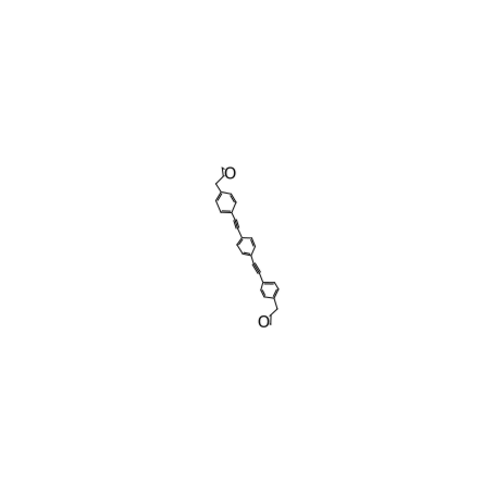 C(#Cc1ccc(CC2CO2)cc1)c1ccc(C#Cc2ccc(CC3CO3)cc2)cc1